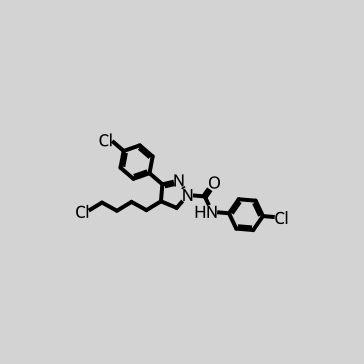 O=C(Nc1ccc(Cl)cc1)N1CC(CCCCCl)C(c2ccc(Cl)cc2)=N1